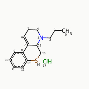 CCCN1CCC=C2c3ccccc3SCC21.Cl